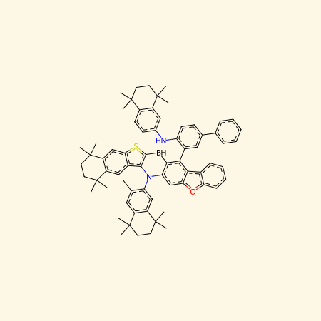 Cc1cc2c(cc1N1c3cc4oc5ccccc5c4c(-c4cc(-c5ccccc5)ccc4Nc4ccc5c(c4)C(C)(C)CCC5(C)C)c3Bc3sc4cc5c(cc4c31)C(C)(C)CCC5(C)C)C(C)(C)CCC2(C)C